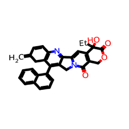 C=C1C=Cc2nc3c(c(-c4cccc5ccccc45)c2C1)Cn1c-3cc2c(c1=O)COC(=O)C2(O)CC